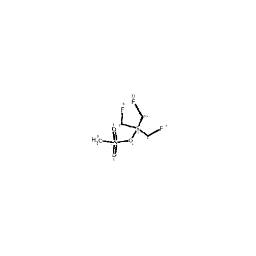 CS(=O)(=O)OS(CF)(CF)CF